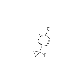 FC1(c2ccc(Cl)nc2)CC1